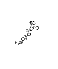 COc1ccc2nc(-c3cccc(C(=O)N4CCN(C(c5ccccc5)c5ccc[nH]c5=O)CC4)c3)sc2c1